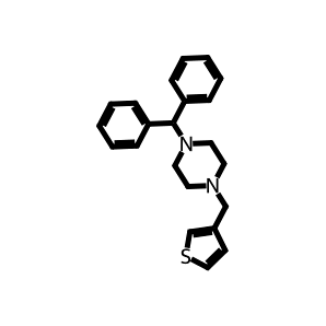 c1ccc(C(c2ccccc2)N2CCN(Cc3ccsc3)CC2)cc1